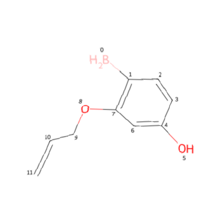 Bc1ccc(O)cc1OCC=C